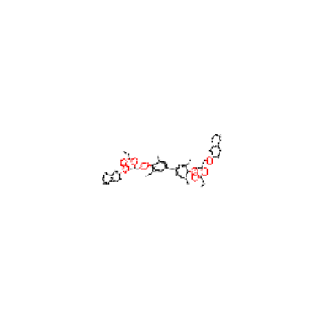 C=CC(=O)OC(COc1ccc2ccccc2c1)COc1c(C)cc(-c2cc(C)c(OCC(COc3ccc4ccccc4c3)OC(=O)C=C)c(C)c2)cc1C